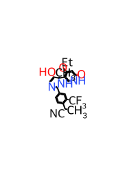 CCOc1cc(=O)[nH]cc1C1(C)NC(c2ccc(C(C)C#N)c(C(F)(F)F)c2)=NC=C1O